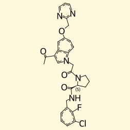 CC(=O)c1cn(CC(=O)N2CCC[C@H]2C(=O)NCc2cccc(Cl)c2F)c2ccc(OCc3ncccn3)cc12